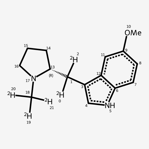 [2H]C([2H])(c1c[nH]c2ccc(OC)cc12)[C@H]1CCCN1C([2H])([2H])[2H]